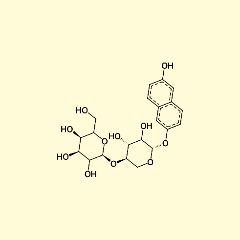 OCC1O[C@@H](O[C@@H]2CO[C@@H](Oc3ccc4cc(O)ccc4c3)C(O)[C@H]2O)C(O)[C@@H](O)[C@H]1O